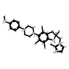 COc1ccc(N2CCN(c3c(C)c(C)c4c(c3C)CC(C)(Cn3ccnc3C)O4)CC2)cc1